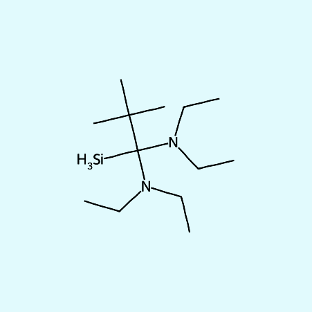 CCN(CC)C([SiH3])(N(CC)CC)C(C)(C)C